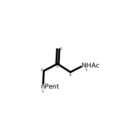 C=C(CCCCCC)CNC(C)=O